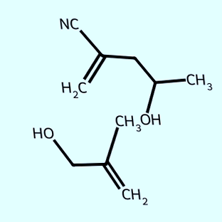 C=C(C#N)CC(C)O.C=C(C)CO